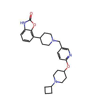 O=c1[nH]c2cccc(C3CCN(Cc4ccc(OC5CCN(C6CCC6)CC5)nc4)CC3)c2o1